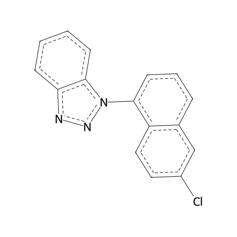 Clc1ccc2c(-n3nnc4ccccc43)cccc2c1